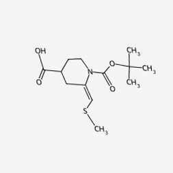 CSC=C1CC(C(=O)O)CCN1C(=O)OC(C)(C)C